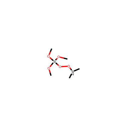 CO[Si](OC)(OC)OO[SiH](C)C